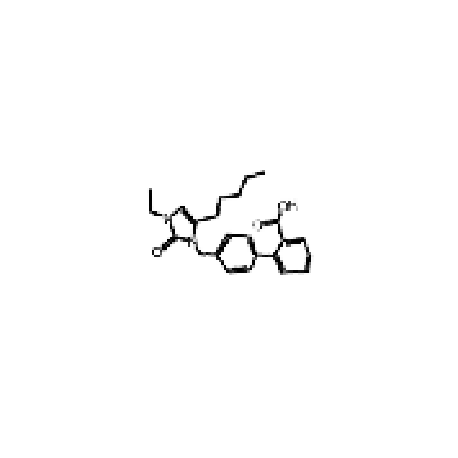 CCCCCc1cn(CC)c(=O)n1Cc1ccc(-c2ccccc2C(=O)O)cc1